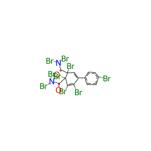 O=C(N(Br)Br)C1(Br)C=C(c2ccc(Br)cc2)C(Br)=C(Br)C1(Br)C(=O)N(Br)Br